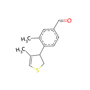 CC1=CSCC1c1ccc(C=O)cc1C